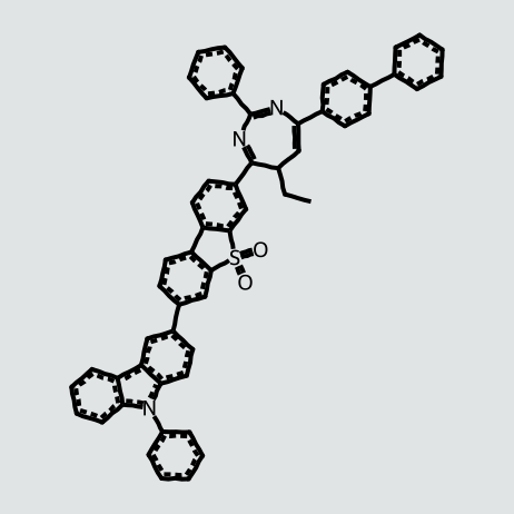 CCC1C=C(c2ccc(-c3ccccc3)cc2)N=C(c2ccccc2)N=C1c1ccc2c(c1)S(=O)(=O)c1cc(-c3ccc4c(c3)c3ccccc3n4-c3ccccc3)ccc1-2